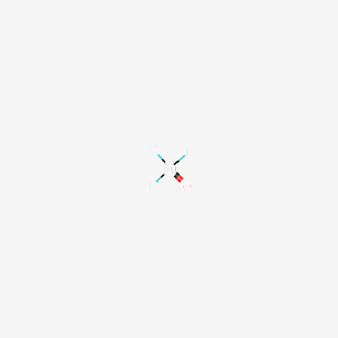 [O]=[Ru]([F])([F])[F]